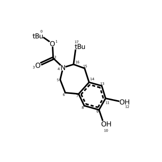 CC(C)(C)OC(=O)N1CCc2cc(O)c(O)cc2CC1C(C)(C)C